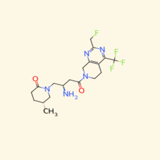 C[C@@H]1CCC(=O)N(C[C@H](N)CC(=O)N2CCc3c(nc(CF)nc3C(F)(F)F)C2)C1